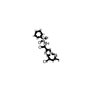 Cc1cc(Cl)c2nc(C(=O)NS(=O)(=O)c3ccccc3)cn2n1